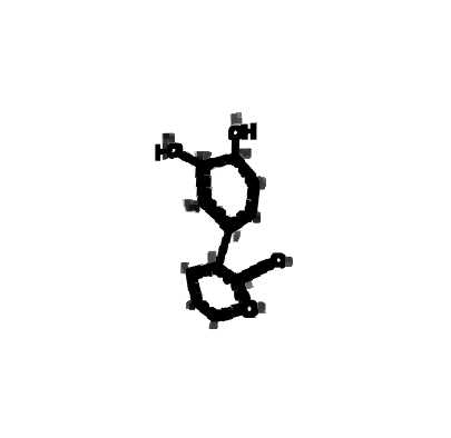 O=c1occcc1-c1ccc(O)c(O)c1